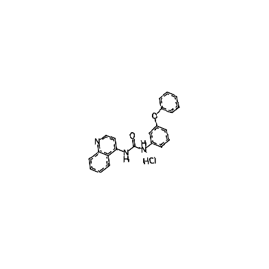 Cl.O=C(Nc1cccc(Oc2ccccc2)c1)Nc1ccnc2ccccc12